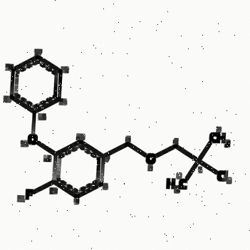 CC(C)(Cl)COCc1ccc(F)c(Oc2ccccc2)c1